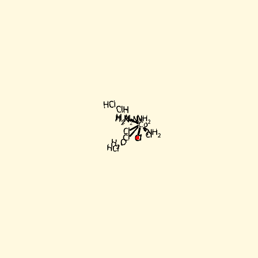 Cl.Cl.Cl.O.[NH2][Co]([NH2])([NH2])([NH2])([NH2])([Cl])([Cl])([Cl])([Cl])[Cl]